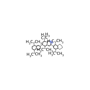 CC(C)c1cc(-c2cc3c(C(C)C)c(-c4ccc5c(C(C)C)ccc(C(C)C)c5c4)cc(C(C)C)c3cn2)c(C(C)C)c2c1CCCC2